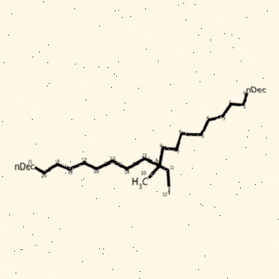 CCCCCCCCCCCCCCCCCCC(C)(CI)CCCCCCCCCCCCCCCCCC